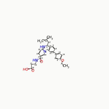 CCOc1ccc(-c2ccc(C(CC(C)C)Nc3ccc(C(=O)NCCC(=O)O)cn3)cc2)cc1